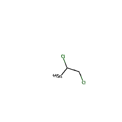 ClC[CH](Cl)[SnH]